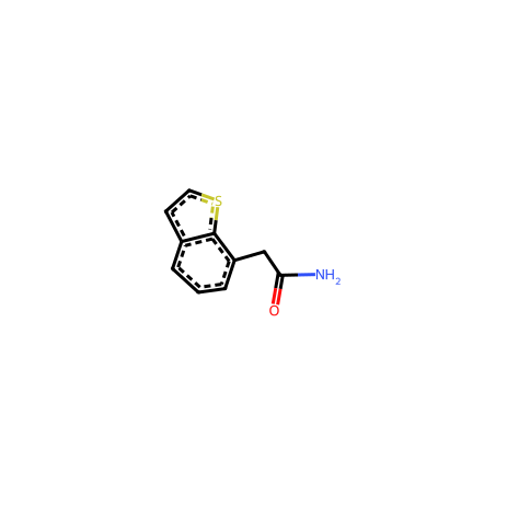 NC(=O)Cc1cccc2ccsc12